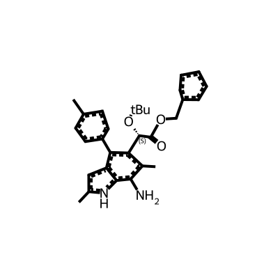 Cc1ccc(-c2c([C@H](OC(C)(C)C)C(=O)OCc3ccccc3)c(C)c(N)c3[nH]c(C)cc23)cc1